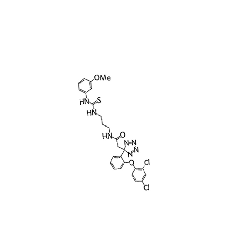 COc1cccc(NC(=S)NCCCNC(=O)CC2(c3ccccc3Oc3ccc(Cl)cc3Cl)N=NN=N2)c1